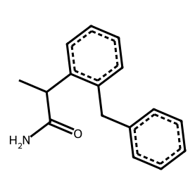 CC(C(N)=O)c1ccccc1Cc1ccccc1